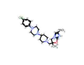 CC1(CN2CCC(N3CCN(c4ccc(Cl)cc4)CC3)CC2)Cn2cc([N+](=O)[O-])nc2O1